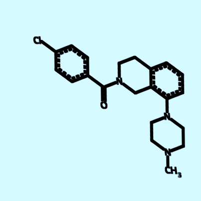 CN1CCN(c2cccc3c2CN(C(=O)c2ccc(Cl)cc2)CC3)CC1